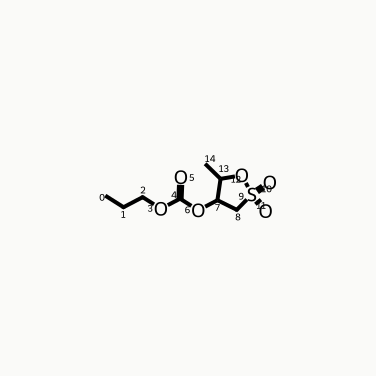 CCCOC(=O)OC1CS(=O)(=O)OC1C